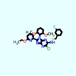 CCOc1cccc(-c2nc3nc(Cl)c(NSCc4cccc(F)c4)nc3n2-c2c(OC)cccc2OC)n1